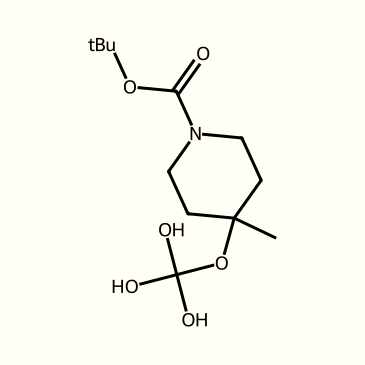 CC(C)(C)OC(=O)N1CCC(C)(OC(O)(O)O)CC1